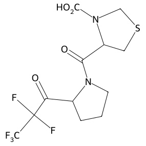 O=C(O)N1CSCC1C(=O)N1CCCC1C(=O)C(F)(F)C(F)(F)F